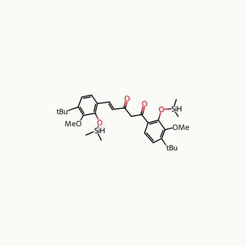 COc1c(C(C)(C)C)ccc(C=CC(=O)CC(=O)c2ccc(C(C)(C)C)c(OC)c2O[SiH](C)C)c1O[SiH](C)C